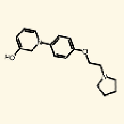 OC1=CC=CN(c2ccc(OCCN3CCCC3)cc2)C1